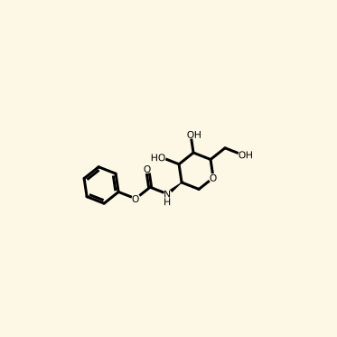 O=C(N[C@@H]1COC(CO)C(O)C1O)Oc1ccccc1